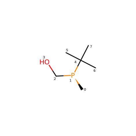 C[P@@](CO)C(C)(C)C